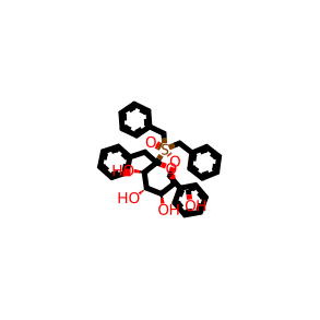 O=S(Cc1ccccc1)(Cc1ccccc1)(OCc1ccccc1)C1(Cc2ccccc2)O[C@H](CO)[C@@H](O)[C@H](O)[C@H]1O